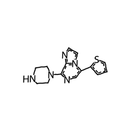 c1csc(-c2cnc(N3CCNCC3)c3nccn23)c1